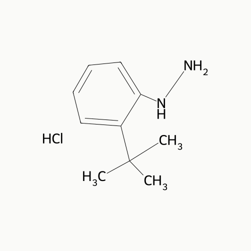 CC(C)(C)c1ccccc1NN.Cl